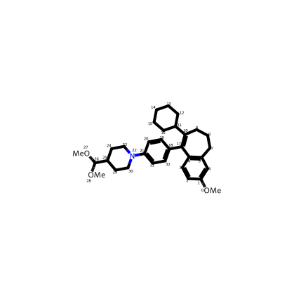 COc1ccc2c(c1)CCCC(C1CCCCC1)=C2c1ccc(N2CCC(C(OC)OC)CC2)cc1